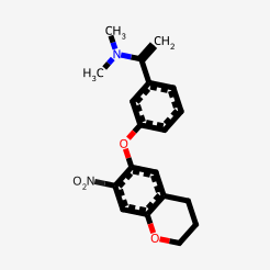 C=C(c1cccc(Oc2cc3c(cc2[N+](=O)[O-])OCCC3)c1)N(C)C